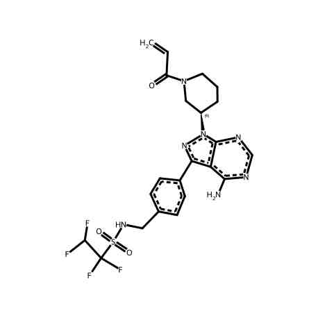 C=CC(=O)N1CCC[C@@H](n2nc(-c3ccc(CNS(=O)(=O)C(F)(F)C(F)F)cc3)c3c(N)ncnc32)C1